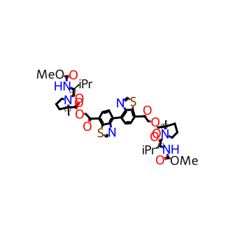 COC(=O)N[C@H](C(=O)N1CCC[C@@]1(C)C(=O)OCC(=O)c1ccc(-c2ccc(C(=O)COC(=O)[C@]3(C)CCCN3C(=O)[C@@H](NC(=O)OC)C(C)C)c3scnc23)c2ncsc12)C(C)C